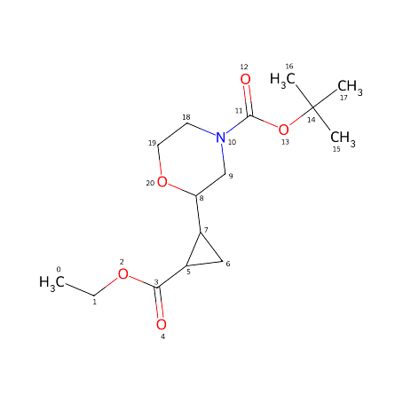 CCOC(=O)C1CC1C1CN(C(=O)OC(C)(C)C)CCO1